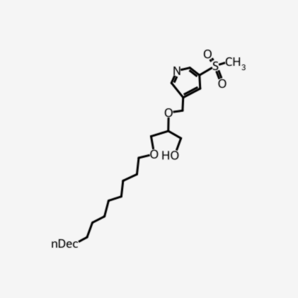 CCCCCCCCCCCCCCCCCCOCC(CO)OCc1cncc(S(C)(=O)=O)c1